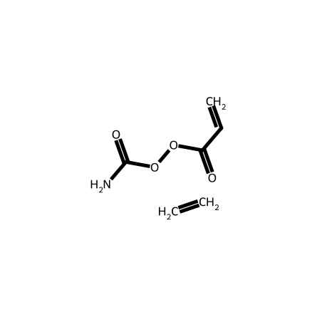 C=C.C=CC(=O)OOC(N)=O